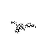 C[C@@H]1[C@H]2C[C@@H](Oc3ccc(C(F)(F)F)cn3)[C@H](C2)N1C(=O)c1cc2ccccc2nc1OCCO